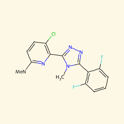 CNc1ccc(Cl)c(-c2nnc(-c3c(F)cccc3F)n2C)n1